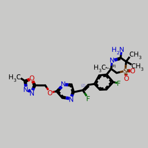 Cc1nnc(COc2cnc(/C(F)=C/c3ccc(F)c([C@]4(C)CS(=O)(=O)C(C)(C)C(N)=N4)c3)cn2)o1